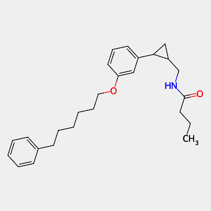 CCCC(=O)NCC1CC1c1cccc(OCCCCCCc2ccccc2)c1